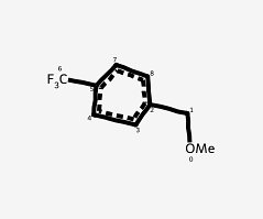 COCc1ccc(C(F)(F)F)cc1